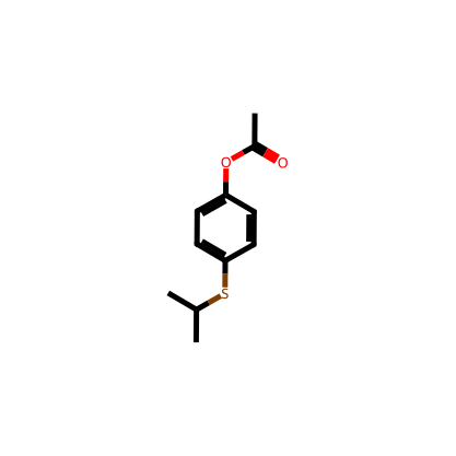 CC(=O)Oc1ccc(SC(C)C)cc1